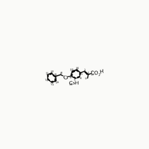 CC(=Cc1ccc(OCc2ccccc2)cc1)C(=O)O.[CsH]